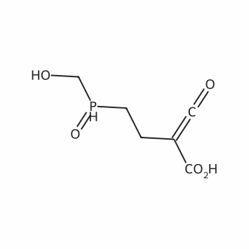 O=C=C(CC[PH](=O)CO)C(=O)O